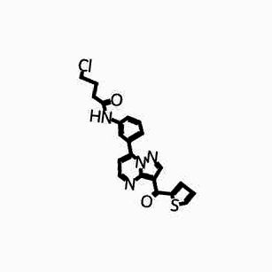 O=C(CCCCl)Nc1cccc(-c2ccnc3c(C(=O)c4cccs4)cnn23)c1